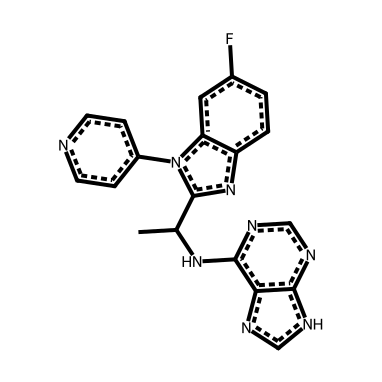 CC(Nc1ncnc2[nH]cnc12)c1nc2ccc(F)cc2n1-c1ccncc1